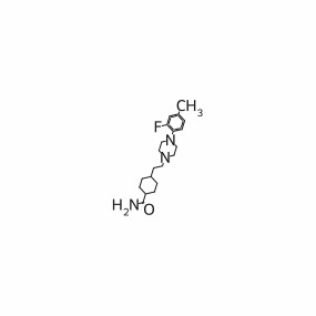 Cc1ccc(N2CCN(CCC3CCC(C(N)=O)CC3)CC2)c(F)c1